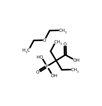 CCC(CC)(C(=O)O)P(=O)(O)O.CCOCC